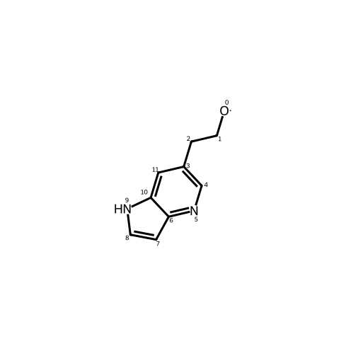 [O]CCc1cnc2cc[nH]c2c1